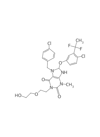 Cn1c2c(c(=O)n(CCOCCO)c1=O)N(Cc1ccc(Cl)cc1)C(Oc1ccc(Cl)c(C(C)(F)F)c1)N2